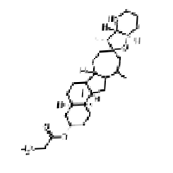 CC1C[C@]2(CC[C@@H]3C1C[C@H]1[C@H]3CC[C@@H]3C[C@@H](OC(=O)CN)CC[C@@]31C)O[C@@H]1CCCN[C@H]1[C@H]2C